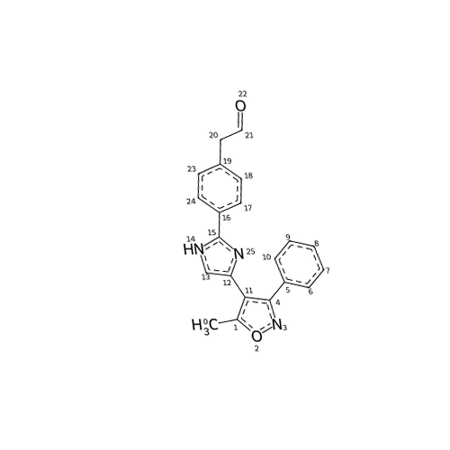 Cc1onc(-c2ccccc2)c1-c1c[nH]c(-c2ccc(CC=O)cc2)n1